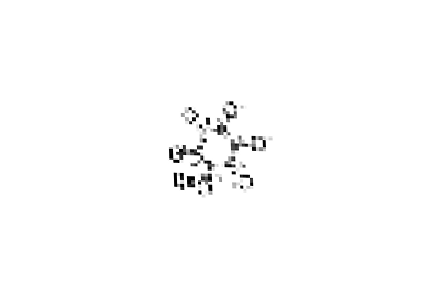 O=c1c([O-])c([O-])c(=O)c(=O)c1=O.[Ba+2]